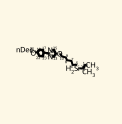 CC=C(C)[SiH2]CCCCCCOc1cnc(-c2ccc(OCCCCCCCCCC)cc2)nc1